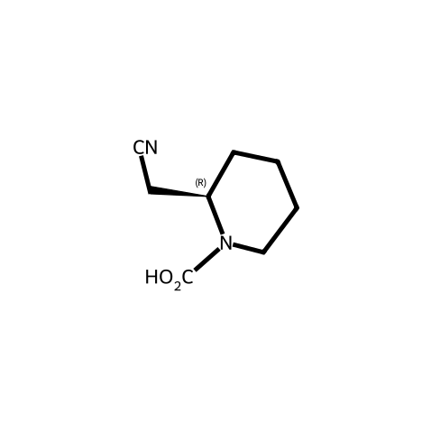 N#CC[C@H]1CCCCN1C(=O)O